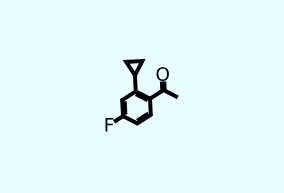 CC(=O)c1ccc(F)cc1C1CC1